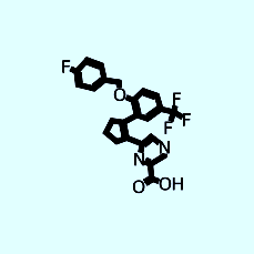 O=C(O)c1cncc(C2=C(c3cc(C(F)(F)F)ccc3OCc3ccc(F)cc3)CCC2)n1